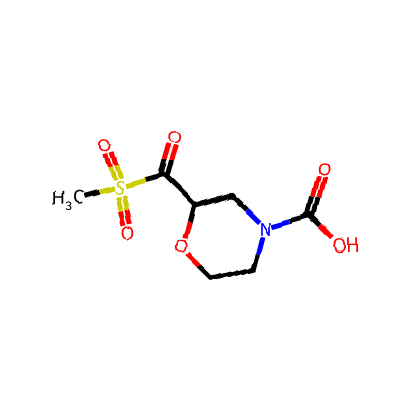 CS(=O)(=O)C(=O)C1CN(C(=O)O)CCO1